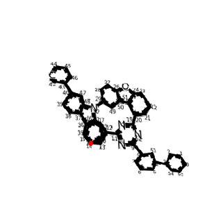 c1ccc(-c2cccc(-c3nc(-c4ccccc4)nc(-c4cccc5oc6ccc(-n7c8ccccc8c8ccc(-c9ccccc9)cc87)cc6c45)n3)c2)cc1